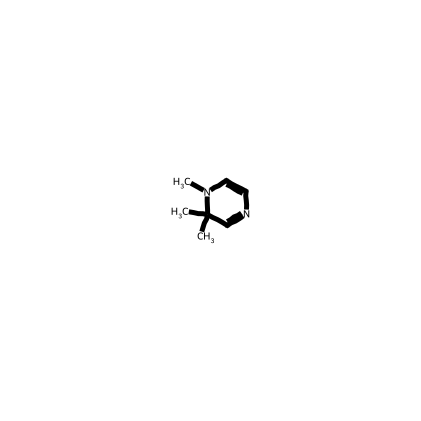 CN1C=CN=CC1(C)C